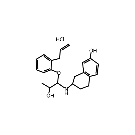 C=CCc1ccccc1OC(NC1CCc2ccc(O)cc2C1)C(C)O.Cl